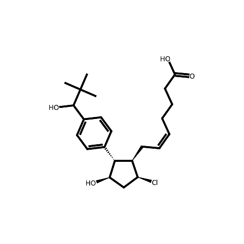 CC(C)(C)C(O)c1ccc([C@@H]2[C@@H](C/C=C\CCCC(=O)O)[C@@H](Cl)C[C@H]2O)cc1